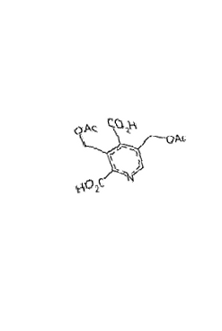 CC(=O)OCc1cnc(C(=O)O)c(COC(C)=O)c1C(=O)O